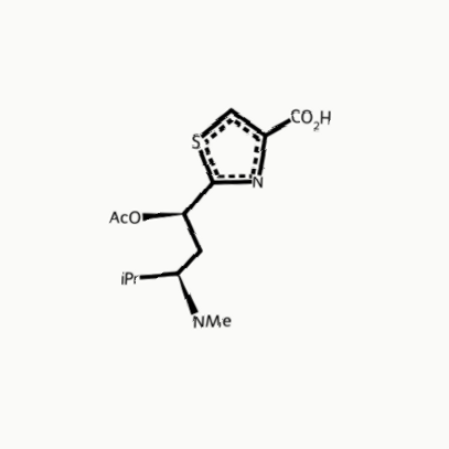 CN[C@H](C[C@@H](OC(C)=O)c1nc(C(=O)O)cs1)C(C)C